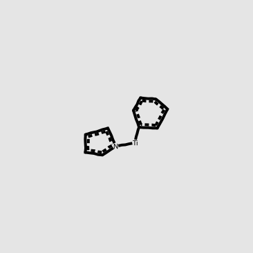 c1cc[c]([Ti][n]2cccc2)cc1